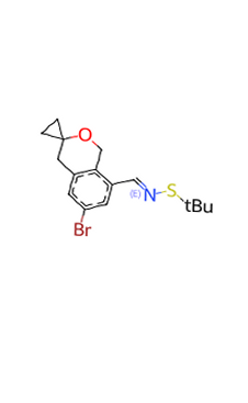 CC(C)(C)S/N=C/c1cc(Br)cc2c1COC1(CC1)C2